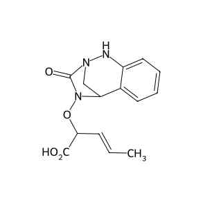 CC=CC(ON1C(=O)N2CC1c1ccccc1N2)C(=O)O